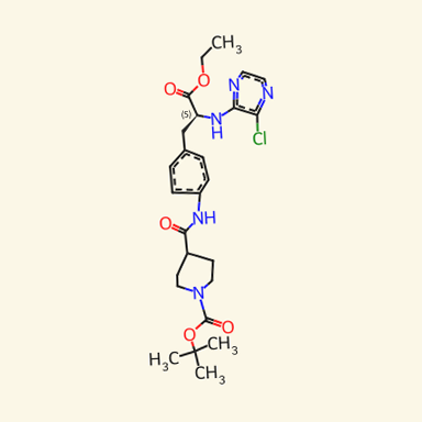 CCOC(=O)[C@H](Cc1ccc(NC(=O)C2CCN(C(=O)OC(C)(C)C)CC2)cc1)Nc1nccnc1Cl